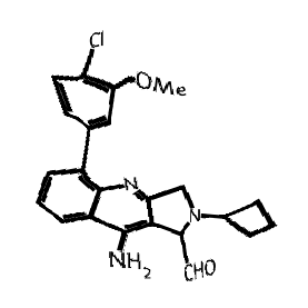 COc1cc(-c2cccc3c(N)c4c(nc23)CN(C2CCC2)C4C=O)ccc1Cl